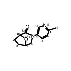 Cc1ccc(N2CC3CCC(O3)C2=O)cn1